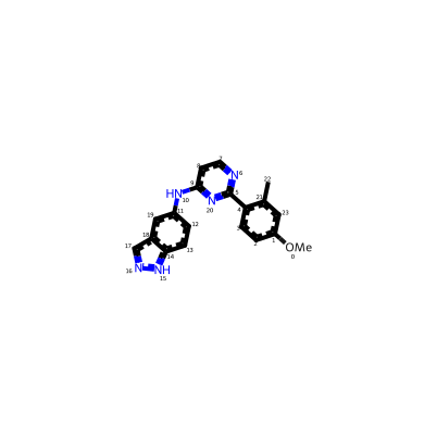 COc1ccc(-c2nccc(Nc3ccc4[nH]ncc4c3)n2)c(C)c1